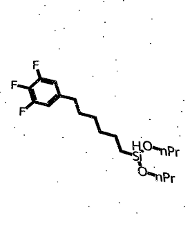 CCCO[SiH](CCCCCCc1cc(F)c(F)c(F)c1)OCCC